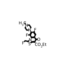 CCOC(=O)c1c2n(c3c(F)c(N4CCN(C)CC4)c(F)cc3c1=O)C(CF)S2